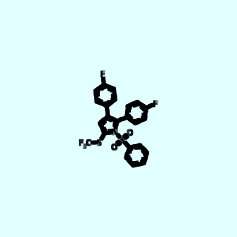 O=S(=O)(c1ccccc1)n1c(SC(F)(F)F)cc(-c2ccc(F)cc2)c1-c1ccc(F)cc1